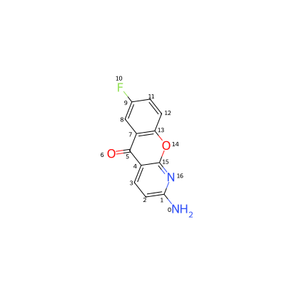 Nc1ccc2c(=O)c3cc(F)ccc3oc2n1